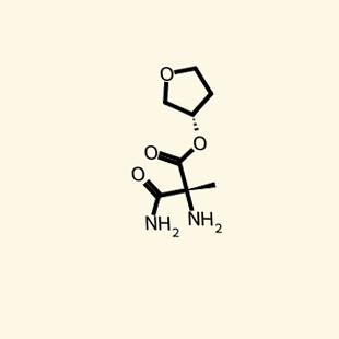 C[C@@](N)(C(N)=O)C(=O)O[C@H]1CCOC1